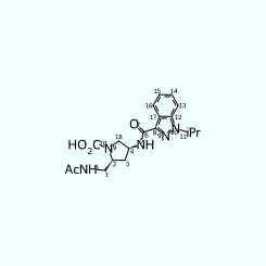 CC(=O)NC[C@@H]1C[C@H](NC(=O)c2nn(C(C)C)c3ccccc23)CN1C(=O)O